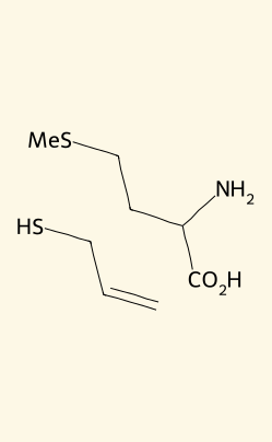 C=CCS.CSCCC(N)C(=O)O